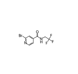 O=C(NCC(F)(F)F)c1ccnc(Br)c1